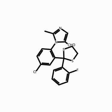 Cc1ncc(C=O)n1-c1ccc(Cl)cc1C1(c2ccccc2F)SCCS1